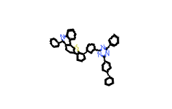 c1ccc(-c2ccc(-c3nc(-c4ccccc4)nc(-c4cccc(-c5cccc6c5sc5c6ccc6c(-c7ccccc7)nc7ccccc7c65)c4)n3)cc2)cc1